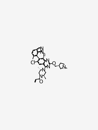 C=CC(=O)N1C[C@H](C)N(c2nc(OC[C@H]3CCN(C)C3)nc3c(F)c(-c4c(C)ccc5cnn(C)c45)c(Cl)cc23)C[C@H]1C